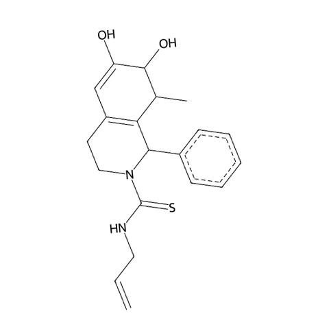 C=CCNC(=S)N1CCC2=C(C(C)C(O)C(O)=C2)C1c1ccccc1